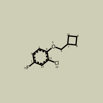 Fc1ccc(OCC2CCC2)c(Cl)c1